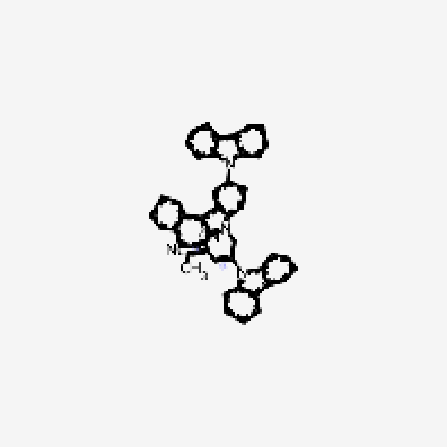 C/C(C#N)=C(C#N)\C=C(/Cn1c2ccc(-n3c4ccccc4c4ccccc43)cc2c2c3ccccc3ccc21)n1c2ccccc2c2ccccc21